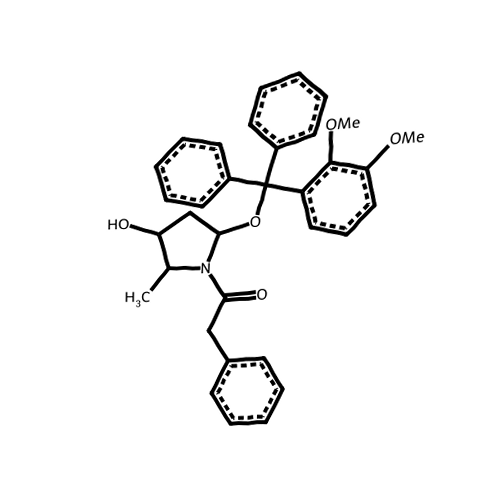 COc1cccc(C(OC2CC(O)C(C)N2C(=O)Cc2ccccc2)(c2ccccc2)c2ccccc2)c1OC